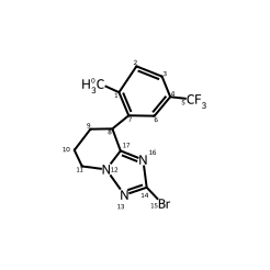 Cc1ccc(C(F)(F)F)cc1C1CCCn2nc(Br)nc21